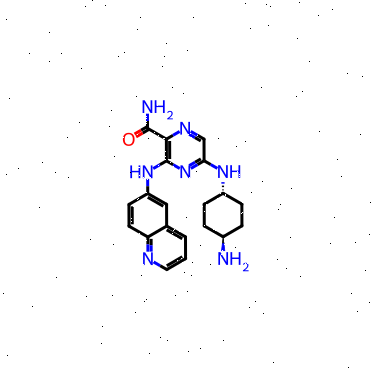 NC(=O)c1ncc(N[C@H]2CC[C@H](N)CC2)nc1Nc1ccc2ncccc2c1